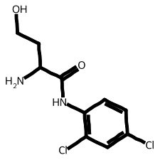 NC(CCO)C(=O)Nc1ccc(Cl)cc1Cl